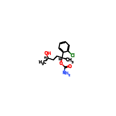 C[C@@H](O)CC[C@@](C)(OC(N)=O)c1ccccc1Cl